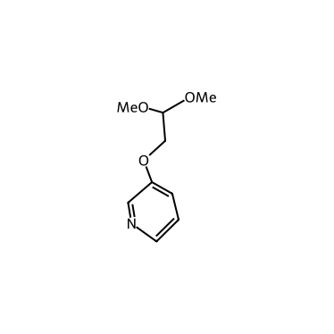 COC(COc1cccnc1)OC